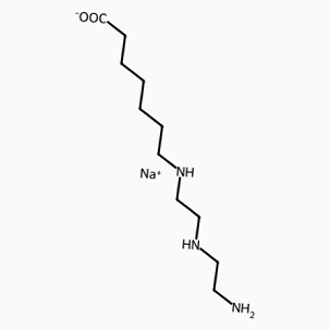 NCCNCCNCCCCCCC(=O)[O-].[Na+]